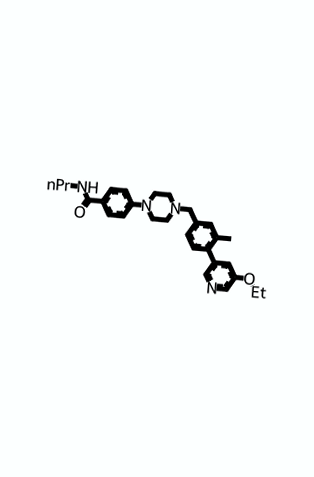 CCCNC(=O)c1ccc(N2CCN(Cc3ccc(-c4cncc(OCC)c4)c(C)c3)CC2)cc1